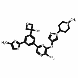 Cc1csc(-c2cc(-c3cnc(N)c(Oc4cnn(C5CCN(C)CC5)c4)n3)cc(C3(O)COC3)c2)n1